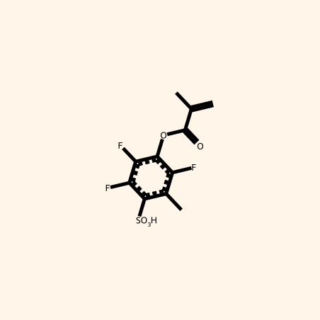 C=C(C)C(=O)Oc1c(F)c(C)c(S(=O)(=O)O)c(F)c1F